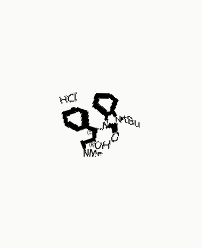 CNC[C@@H](O)[C@H](c1ccccc1)n1c(=O)n(C(C)(C)C)c2ccccc21.Cl